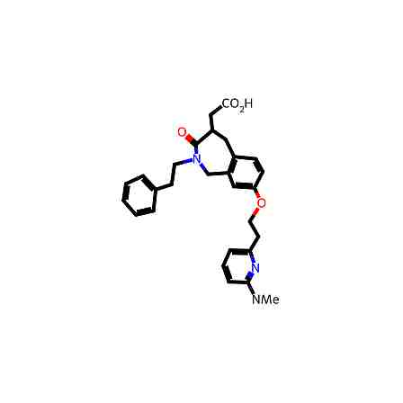 CNc1cccc(CCOc2ccc3c(c2)CN(CCc2ccccc2)C(=O)C(CC(=O)O)C3)n1